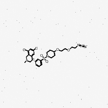 CN1Cc2c(Cl)cc(Cl)cc2[C@H](c2cccc(S(=O)(=O)N3CCC(OCCOCCN=[N+]=[N-])CC3)c2)C1